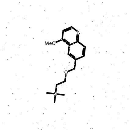 COc1ccnc2ccc(COCC[Si](C)(C)C)cc12